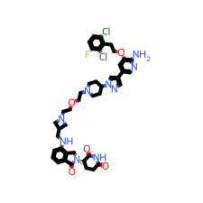 Nc1ncc(-c2cnn(C3CCN(CCOCCN4CC(CNc5cccc6c5CN([C@H]5CCC(=O)NC5=O)C6=O)C4)CC3)c2)cc1OCCc1c(Cl)ccc(F)c1Cl